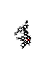 N#Cc1ccc(-c2ccccc2-c2ccc(-n3c4ccc(C#N)cc4c4ccc(C#N)cc43)cc2)c(-n2c3ccccc3c3ccccc32)c1